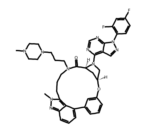 CN1CCN(CCCN2CCCc3c4c(cccc4nn3C)-c3cccc(c3)O[C@H]3C[C@@H](C2=O)N(c2ncnc4c2cnn4-c2ccc(F)cc2F)C3)CC1